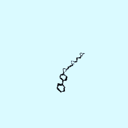 COCCCOCCCOc1ccc(-c2ccccc2)cc1